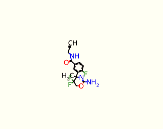 C#CCNC(=O)c1ccc(F)c(C2(C)N=C(N)OCC2(F)F)c1